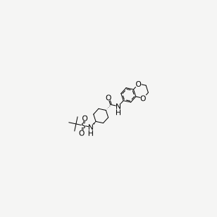 CC(C)(C)S(=O)(=O)N[C@H]1CC[C@H](C(=O)Nc2ccc3c(c2)OCCO3)CC1